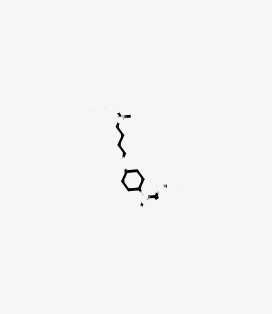 CCCCCN(C)CCCCOC1CCC(N(C)C(=O)OC(C)(C)C)CC1